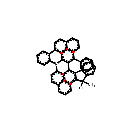 CC1(C)c2ccccc2-c2c(-c3c(-c4ccccc4)cccc3N(c3ccc4ccccc4c3)c3ccccc3-c3ccc4ccccc4c3)cccc21